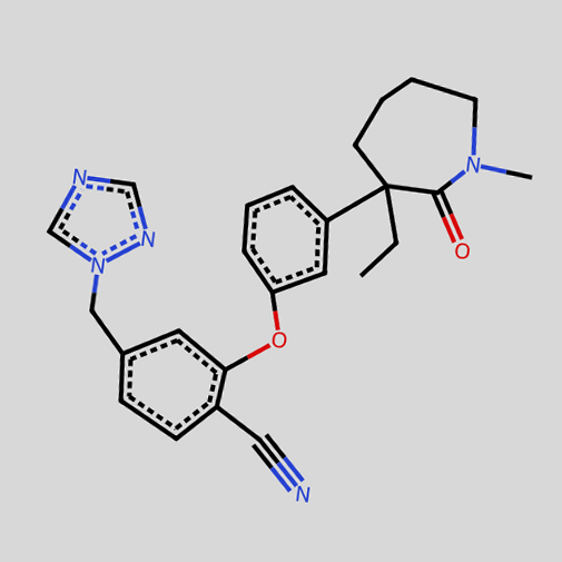 CCC1(c2cccc(Oc3cc(Cn4cncn4)ccc3C#N)c2)CCCCN(C)C1=O